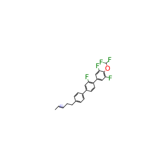 C/C=C/CCc1ccc(-c2ccc(-c3cc(F)c(OC(F)F)c(F)c3)c(F)c2)cc1